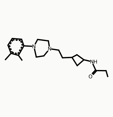 CCC(=O)NC1CC(CCN2CCN(c3cccc(C)c3C)CC2)C1